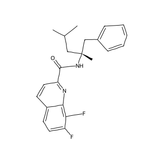 CC(C)C[C@](C)(Cc1ccccc1)NC(=O)c1ccc2ccc(F)c(F)c2n1